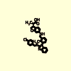 Cc1c(CNc2ccc3c(c2)OC[C@H]3C(C)C(=O)O)cccc1-n1c(SCc2ccc(Cl)cc2)nc2ccccc21